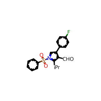 CC(C)c1c(C=O)c(-c2ccc(F)cc2)cn1S(=O)(=O)c1ccccc1